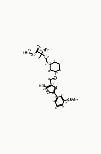 CCCC(C)(OC[C@@H]1CCC[C@H](OCc2nc(-c3cccc(OC)c3)oc2CC)C1)C(=O)OC(C)(C)C